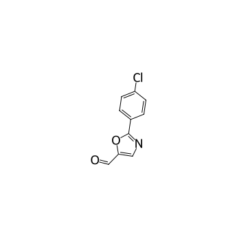 O=Cc1cnc(-c2ccc(Cl)cc2)o1